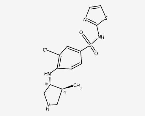 C[C@H]1CNC[C@@H]1Nc1ccc(S(=O)(=O)Nc2nccs2)cc1Cl